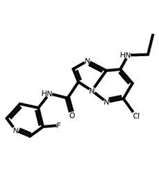 CCNc1cc(Cl)nn2c(C(=O)Nc3ccncc3F)cnc12